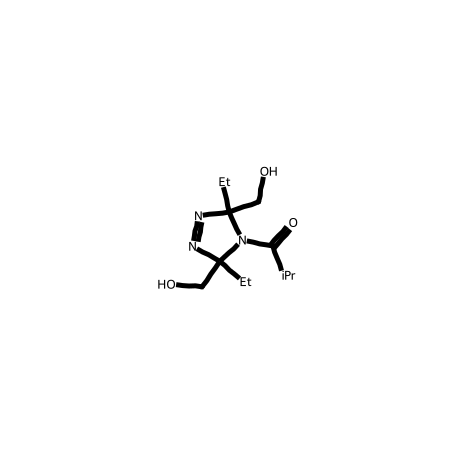 CCC1(CO)N=NC(CC)(CO)N1C(=O)C(C)C